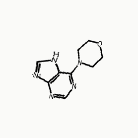 C1=[N+]c2ncnc(N3CCOCC3)c2N1